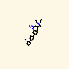 C=C=C1CCCC1c1ccc(-c2ccc3c(c2)N=C(N)CC(C(=C)N(CCC)CCC)=C3)cc1